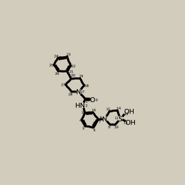 O=C(Nc1cccc(N2CCS(O)(O)CC2)c1)N1CCC(c2ccccc2)CC1